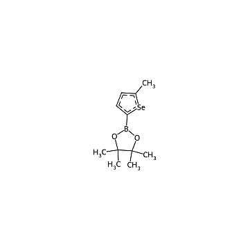 Cc1ccc(B2OC(C)(C)C(C)(C)O2)[se]1